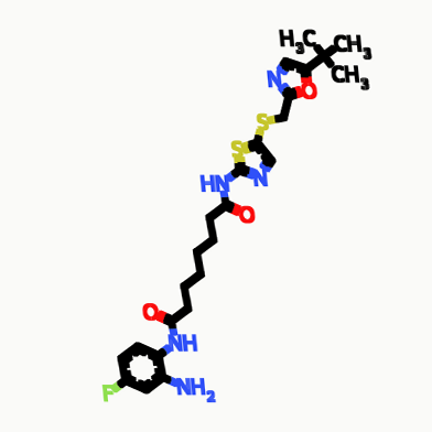 CC(C)(C)c1cnc(CSc2cnc(NC(=O)CCCCCCC(=O)Nc3ccc(F)cc3N)s2)o1